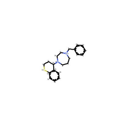 c1ccc(CN2CCCN(C3CCSc4ccccc43)CC2)cc1